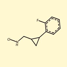 Fc1ccccc1C1CC1CNCl